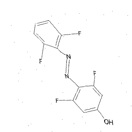 Oc1cc(F)c(N=Nc2c(F)cccc2F)c(F)c1